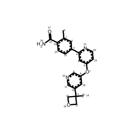 Cc1cc(-c2cc(Oc3cncc(C4(F)COC4)c3)ccn2)ccc1C(N)=O